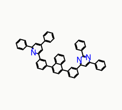 c1ccc(-c2cc(-c3ccccc3)nc(-c3cccc(-c4ccc(-c5cccc(-c6cc(-c7ccccc7)nc(-c7ccccc7)n6)c5)c5ccccc45)c3)c2)cc1